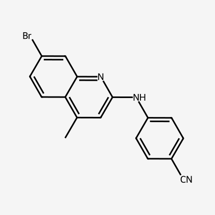 Cc1cc(Nc2ccc(C#N)cc2)nc2cc(Br)ccc12